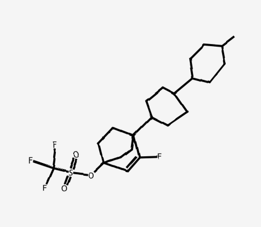 CC1CCC(C2CCC(C34CCC(OS(=O)(=O)C(F)(F)F)(C=C3F)CC4)CC2)CC1